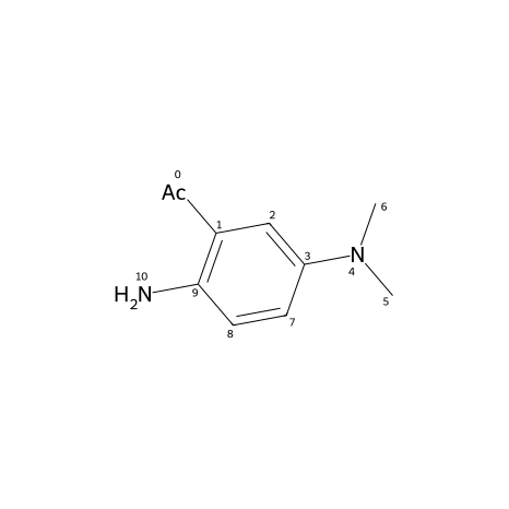 CC(=O)c1cc(N(C)C)ccc1N